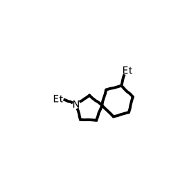 CCC1CCCC2(CCN(CC)C2)C1